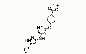 CC(C)(C)OC(=O)N1CCC(Oc2cncc(Nc3cc(C4CCC4)[nH]n3)n2)CC1